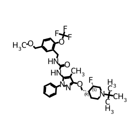 COCc1ccc(OC(F)(F)F)c(CNC(=O)Nc2c(C)c(OC[C@H]3CCN(C(C)(C)C)C[C@H]3F)nn2-c2ccccc2)c1